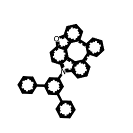 c1ccc(-c2cc(-c3ccccc3)cc(-n3c4cccc5c6ccccc6c6cccc7oc8ccc3c(c8c76)c54)c2)cc1